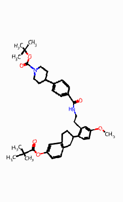 COc1ccc(C2CCc3cc(OC(=O)C(C)(C)C)ccc3C2)c(CCNC(=O)c2ccc(C3CCN(C(=O)OC(C)(C)C)CC3)cc2)c1